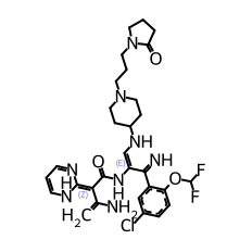 C=C(N)/C(C(=O)N/C(=C/NC1CCN(CCCN2CCCC2=O)CC1)C(=N)c1cc(Cl)ccc1OC(F)F)=C1/N=CC=CN1